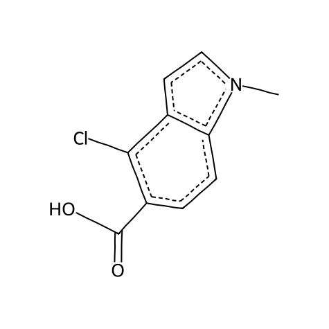 Cn1ccc2c(Cl)c(C(=O)O)ccc21